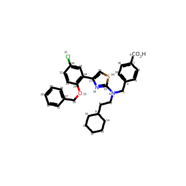 O=C(O)c1ccc(CN(CCC2CCCCC2)c2nc(-c3cc(Cl)ccc3OCc3ccccc3)cs2)cc1